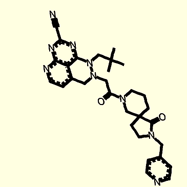 CC(C)(C)CN1c2nc(C#N)nc3nccc(c23)CN1CC(=O)N1CCCC2(CCN(Cc3ccncc3)C2=O)C1